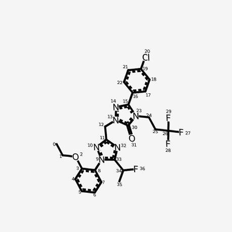 CCOc1ccccc1-n1nc(Cn2nc(-c3ccc(Cl)cc3)n(CCC(F)(F)F)c2=O)nc1C(C)F